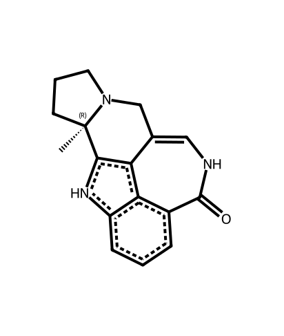 C[C@]12CCCN1CC1=CNC(=O)c3cccc4[nH]c2c1c34